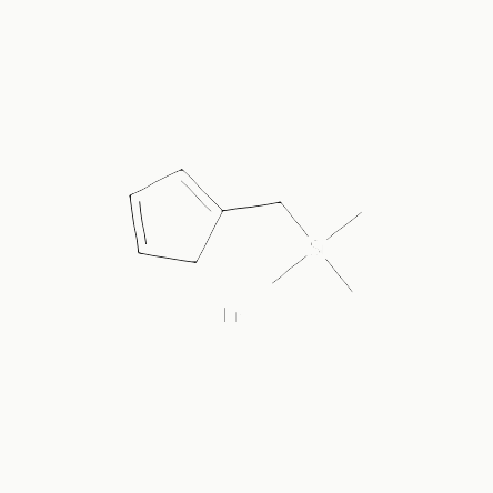 C[Si](C)(C)CC1=CC=CC1.[Li]